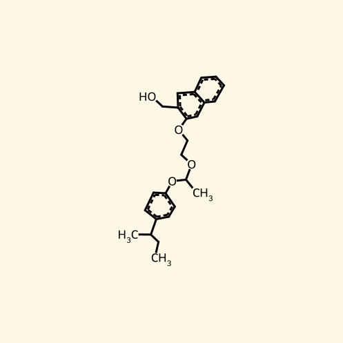 CCC(C)c1ccc(OC(C)OCCOc2cc3ccccc3cc2CO)cc1